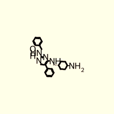 N[C@H]1CC[C@H](CNc2nc(NCc3ccccc3O)ncc2-c2ccccc2)CC1